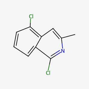 Cc1cc2c(Cl)cccc2c(Cl)n1